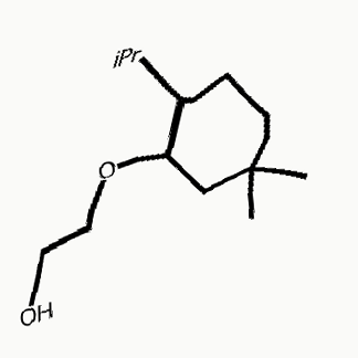 CC(C)C1CCC(C)(C)CC1OCCO